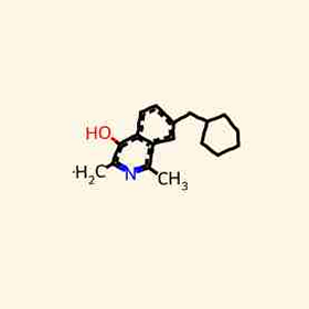 [CH2]c1nc(C)c2cc(CC3CCCCC3)ccc2c1O